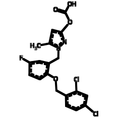 Cc1cc(OC(=O)O)nn1Cc1cc(F)ccc1OCc1ccc(Cl)cc1Cl